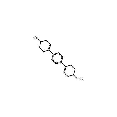 CCCCCCCCCCC1CC=C(c2ccc(C3=CCC(CCC)CC3)cc2)CC1